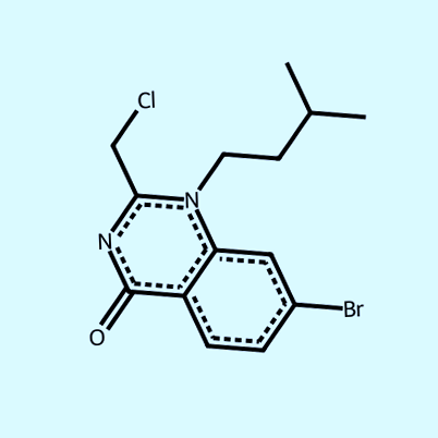 CC(C)CCn1c(CCl)nc(=O)c2ccc(Br)cc21